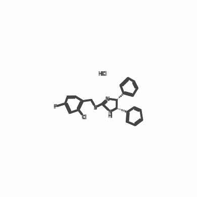 Cl.Fc1ccc(CSC2=N[C@H](c3ccccc3)[C@H](c3ccccc3)N2)c(Cl)c1